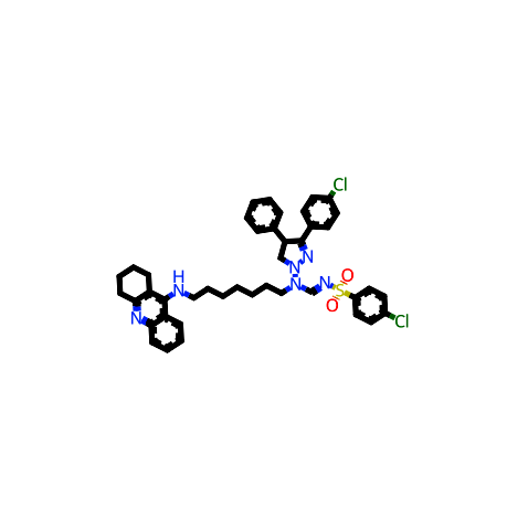 O=S(=O)(N=CN(CCCCCCCNc1c2c(nc3ccccc13)CCCC2)N1CC(c2ccccc2)C(c2ccc(Cl)cc2)=N1)c1ccc(Cl)cc1